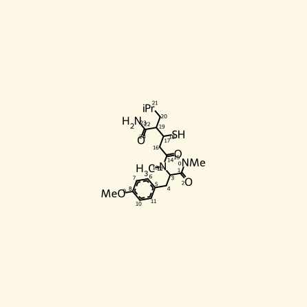 CNC(=O)C(Cc1ccc(OC)cc1)N(C)C(=O)CC(S)C(CC(C)C)C(N)=O